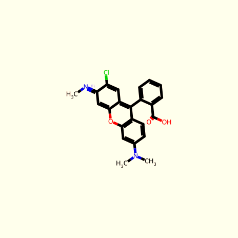 C/N=c1\cc2oc3cc(N(C)C)ccc3c(-c3ccccc3C(=O)O)c-2cc1Cl